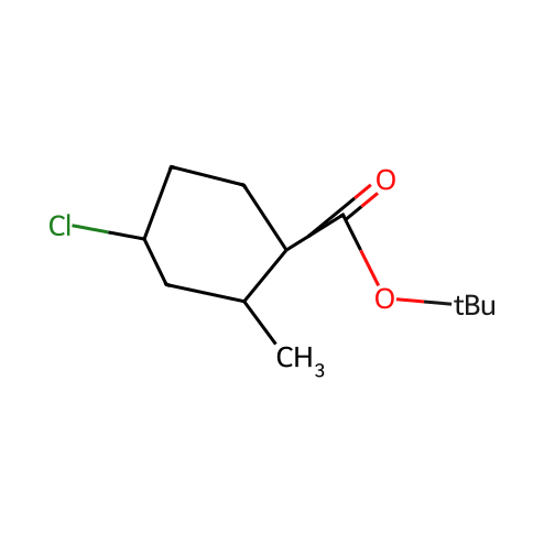 CC1CC(Cl)CCC1C(=O)OC(C)(C)C